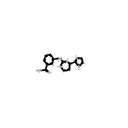 NC(=O)c1cccc(Nc2nccc(-c3nccs3)n2)c1